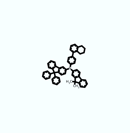 CC1(C)c2ccccc2-c2ccc(N(c3ccc(-c4cccc5c4CCCC5)cc3)c3ccc4c(c3)-c3ccccc3C4(c3ccccc3)c3ccccc3)cc21